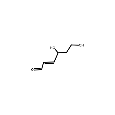 O=CC=CC(O)CCO